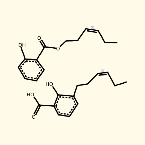 CC/C=C\CCOC(=O)c1ccccc1O.CC/C=C\CCc1cccc(C(=O)O)c1O